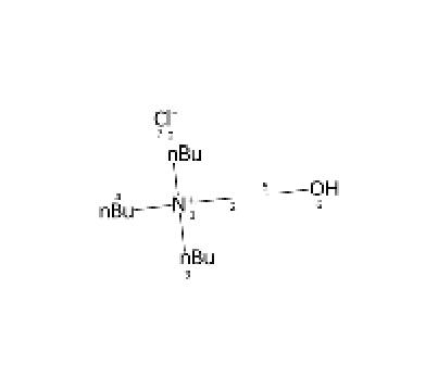 CCCC[N+](C)(CCCC)CCCC.CO.[Cl-]